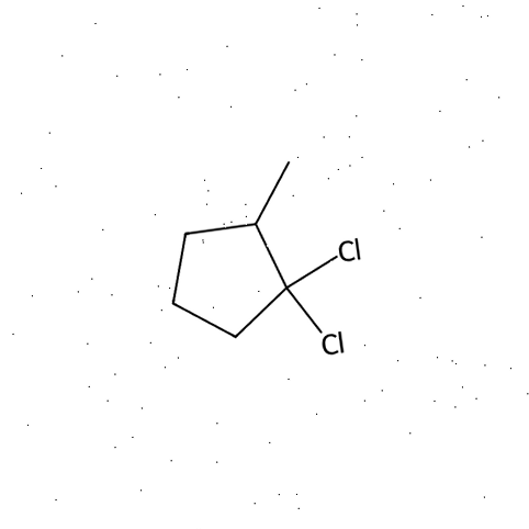 CC1CCCC1(Cl)Cl